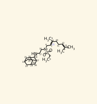 CCS(=O)(=O)N(C/C=C(\C)CCC=C(C)C)CCNC1C2CC3CC(C2)CC1C3